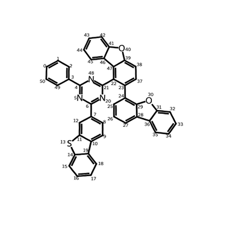 c1ccc(-c2nc(-c3ccc4c(c3)sc3ccccc34)nc(-c3c(-c4cccc5c4oc4ccccc45)ccc4oc5ccccc5c34)n2)cc1